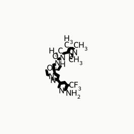 Cc1nn(C)c(C(C)NC(=O)N2CC[C@]3(C2)OCCn2nc(-c4cnc(N)c(C(F)(F)F)c4)cc23)c1C